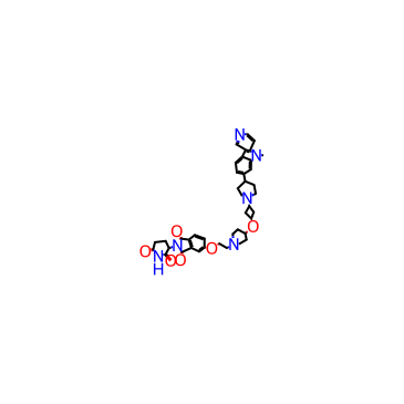 Cn1c2ccncc2c2ccc(C3CCN([C@H]4C[C@@H](OC5CCN(CCOc6ccc7c(c6)C(=O)N(C6CCC(=O)NC6=O)C7=O)CC5)C4)CC3)cc21